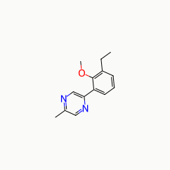 CCc1cccc(-c2cnc(C)cn2)c1OC